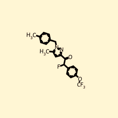 Cc1ccc(Cn2nc(C(=O)C(F)c3ccc(OC(F)(F)F)cc3)cc2C)cc1